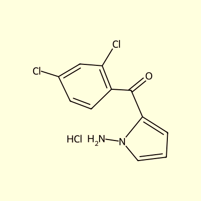 Cl.Nn1cccc1C(=O)c1ccc(Cl)cc1Cl